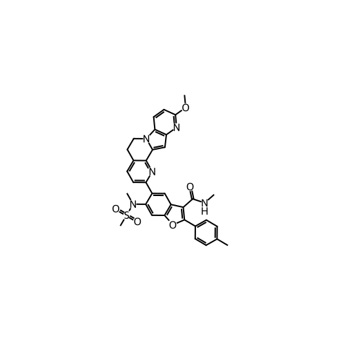 CNC(=O)c1c(-c2ccc(C)cc2)oc2cc(N(C)S(C)(=O)=O)c(-c3ccc4c(n3)-c3cc5nc(OC)ccc5n3CC4)cc12